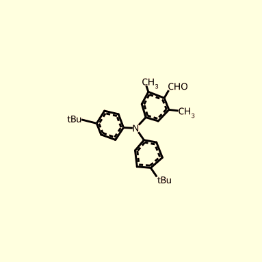 Cc1cc(N(c2ccc(C(C)(C)C)cc2)c2ccc(C(C)(C)C)cc2)cc(C)c1C=O